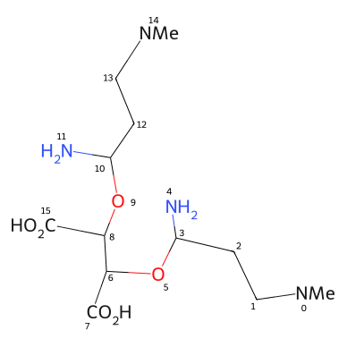 CNCCC(N)OC(C(=O)O)C(OC(N)CCNC)C(=O)O